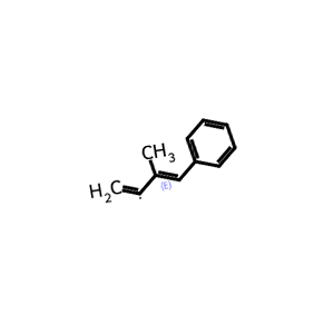 C=[C]/C(C)=C/c1ccccc1